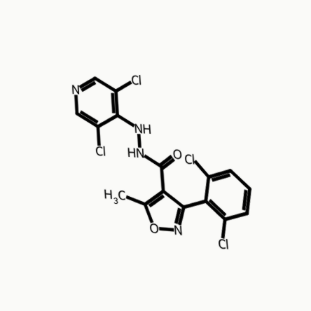 Cc1onc(-c2c(Cl)cccc2Cl)c1C(=O)NNc1c(Cl)cncc1Cl